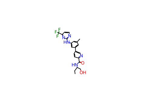 CCC(CO)NC(=O)c1ccc(-c2cc(C)cc(Nc3nccc(C(F)(F)F)n3)c2)cn1